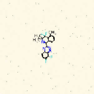 Cc1cccc2c1C(F)(F)C(C)(C)N=C2c1nnc2c(F)c(F)ccc2n1